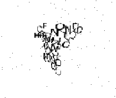 C=C[C@@H]1C[C@]1(NC(=O)[C@@H]1C[C@@H](Oc2cc(C(=O)N(C)C)nc3c(Cl)c(OC)ccc23)CN1C(=O)C(NC(=O)OC1CCCC1)C(C)(C)C)P(=O)(O)Cc1c(F)cccc1F